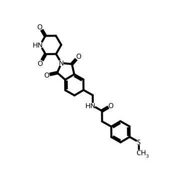 CSc1ccc(CC(=O)NCC2C=C3C(=O)N(C4CCC(=O)NC4=O)C(=O)C3=CC2)cc1